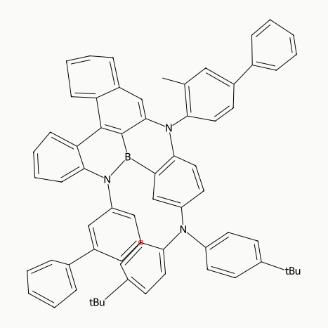 Cc1cc(-c2ccccc2)ccc1N1c2ccc(N(c3ccc(C(C)(C)C)cc3)c3ccc(C(C)(C)C)cc3)cc2B2c3c1cc1ccccc1c3-c1ccccc1N2c1cccc(-c2ccccc2)c1